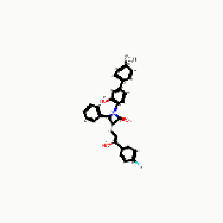 O=C1[C@H](CC[C@H](O)c2ccc(F)cc2)C(c2ccccc2)N1c1ccc(-c2ccc(S(=O)(=O)O)cc2)cc1O